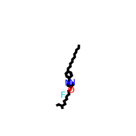 CCCCCCCCCCCc1ccc(-c2ncc(OCCC(F)CCCC(C)CC)cn2)cc1